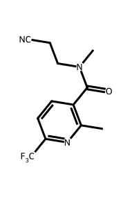 Cc1nc(C(F)(F)F)ccc1C(=O)N(C)CCC#N